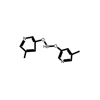 Cc1cncc(OBOc2cncc(C)c2)c1